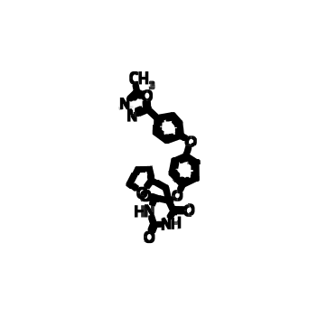 Cc1nnc(-c2ccc(Oc3ccc(OC4(CC5CCCO5)C(=O)NC(=O)NC4=O)cc3)cc2)o1